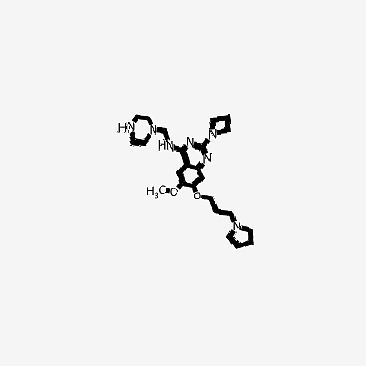 COc1cc2c(NCN3CCNCC3)nc(N3CCC3)nc2cc1OCCCN1CCCC1